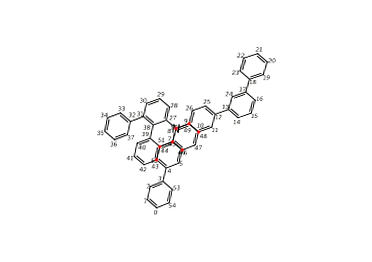 c1ccc(-c2ccc(N(c3ccc(-c4cccc(-c5ccccc5)c4)cc3)c3cccc(-c4ccccc4)c3-c3ccccc3-c3ccccc3)cc2)cc1